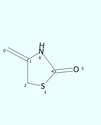 C=C1CSC(=O)N1